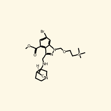 COC(=O)c1cc(Br)cc2c1c(CN[C@H]1CN3CCC1CC3)nn2COCC[Si](C)(C)C